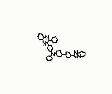 c1ccc(-c2nc3ccccc3nc2-c2ccc(N(c3ccccc3)c3ccc(-c4ccc(-c5cn6ccccc6n5)cc4)cc3)cc2)cc1